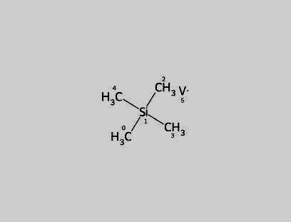 C[Si](C)(C)C.[V]